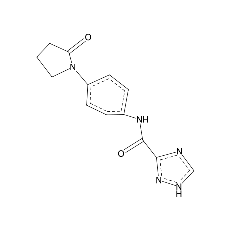 O=C(Nc1ccc(N2CCCC2=O)cc1)c1nc[nH]n1